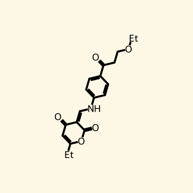 CCOCCC(=O)c1ccc(NC=C2C(=O)C=C(CC)OC2=O)cc1